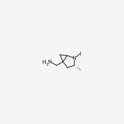 C[C@@H]1CC2(CN)CC2N1I